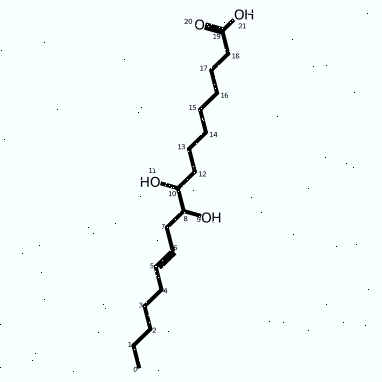 CCCCCC=CCC(O)C(O)CCCCCCCC(=O)O